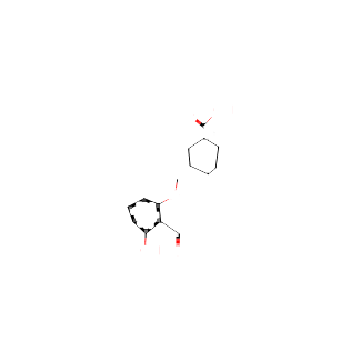 O=Cc1c(O)cccc1OC[C@H]1CCC[C@@H](C(=O)O)C1